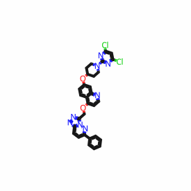 Clc1cc(Cl)nc(N2CCC(Oc3ccc4c(OCc5nnc6ccc(-c7ccccc7)nn56)ccnc4c3)CC2)n1